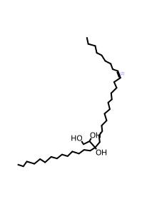 CCCCCCCC/C=C\CCCCCCCCCCCCC(O)(CCCCCCCCCCCCCC)C(O)CO